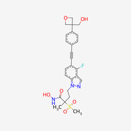 CC(CCn1ncc2c(F)c(C#Cc3ccc(C4(CO)COC4)cc3)ccc21)(C(=O)NO)S(C)(=O)=O